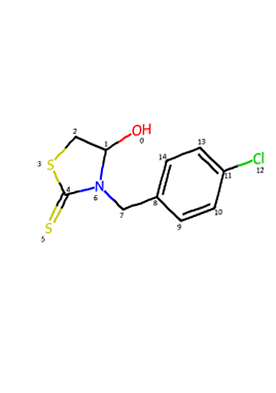 OC1CSC(=S)N1Cc1ccc(Cl)cc1